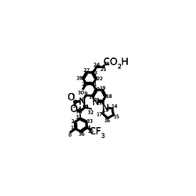 Cc1cc([C@H]2OC(=O)N(Cc3nc(N4CCCC4)ccc3-c3cc(CCC(=O)O)ccc3C)[C@H]2C)cc(C(F)(F)F)c1